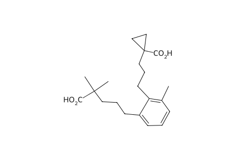 Cc1cccc(CCCC(C)(C)C(=O)O)c1CCCC1(C(=O)O)CC1